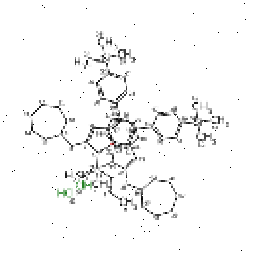 CC[CH2][Zr]([CH3])(=[SiH2])([CH]1C(CC2CCCCCC2)=Cc2c(-c3ccc([Si](C)(C)C)cc3)cccc21)[CH]1C(CC2CCCCCC2)=Cc2c(-c3ccc([Si](C)(C)C)cc3)cccc21.Cl.Cl